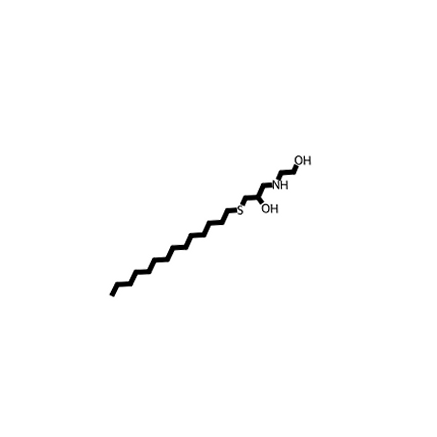 CCCCCCCCCCCCCCSCC(O)CNCCO